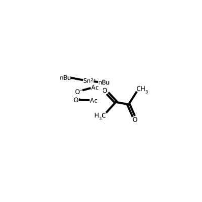 CC(=O)C(C)=O.CC(=O)[O-].CC(=O)[O-].CCC[CH2][Sn+2][CH2]CCC